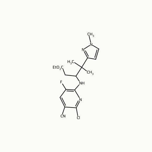 CCOC(=O)CC(Nc1nc(Cl)c(C#N)cc1F)C(C)(C)c1ccn(C)n1